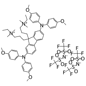 CC[N+](C)(C)CCCC1(CCC[N+](C)(C)CC)c2cc(N(c3ccc(OC)cc3)c3ccc(OC)cc3)ccc2-c2ccc(N(c3ccc(OC)cc3)c3ccc(OC)cc3)cc21.O=S(=O)([N-]S(=O)(=O)C(F)(F)F)C(F)(F)F.O=S(=O)([N-]S(=O)(=O)C(F)(F)F)C(F)(F)F